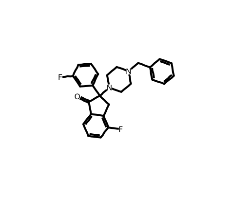 O=C1c2cccc(F)c2CC1(c1cccc(F)c1)N1CCN(Cc2ccccc2)CC1